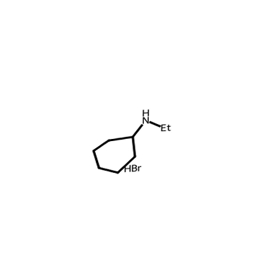 Br.CCNC1CCCCC1